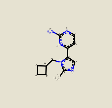 Cc1ncc(-c2ccnc(N)n2)n1CC1CCC1